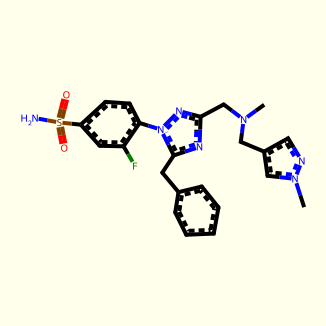 CN(Cc1cnn(C)c1)Cc1nc(Cc2ccccc2)n(-c2ccc(S(N)(=O)=O)cc2F)n1